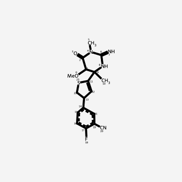 COC1C(=O)N(C)C(=N)NC1(C)C1=CC(c2ccc(F)c(C#N)c2)CS1